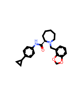 O=C(Nc1ccc(C2CC2)cc1)[C@H]1CCCCCN1Cc1cccc2c1OCO2